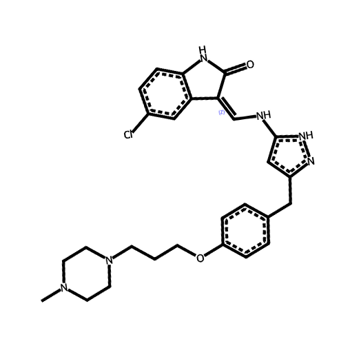 CN1CCN(CCCOc2ccc(Cc3cc(N/C=C4\C(=O)Nc5ccc(Cl)cc54)[nH]n3)cc2)CC1